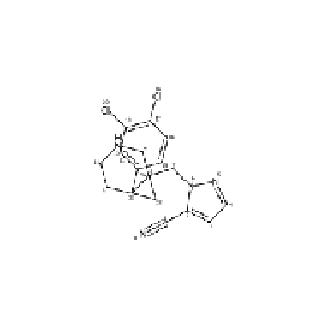 N#Cc1ccnn1CC12CNCCC1(c1ccc(Cl)c(Cl)c1)C2